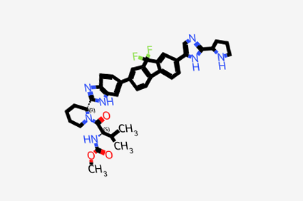 COC(=O)N[C@H](C(=O)N1CCCC[C@@H]1c1nc2ccc(-c3ccc4c(c3)C(F)(F)c3cc(-c5cnc(C6CCCN6)[nH]5)ccc3-4)cc2[nH]1)C(C)C